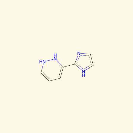 C1=CNNC(c2ncc[nH]2)=C1